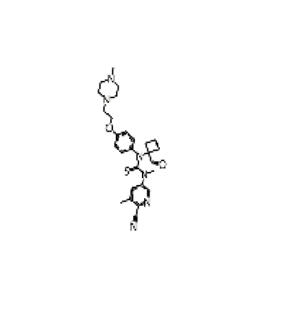 Cc1cc(N(C)C(=S)N(c2ccc(OCCN3CCN(C)CC3)cc2)C2(C=O)CCC2)cnc1C#N